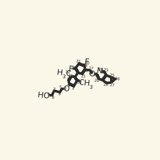 Cc1cc(OCCCCO)cc(C)c1-c1cc(COc2cc3c(cn2)C2CC2C3)c(F)cc1F